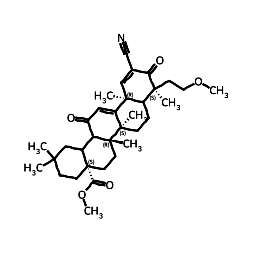 COCC[C@]1(C)C(=O)C(C#N)=C[C@]2(C)C3=CC(=O)C4C5CC(C)(C)CC[C@]5(C(=O)OC)CC[C@@]4(C)[C@]3(C)CCC21